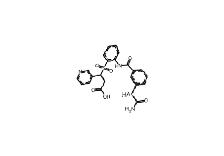 NC(=O)[AsH]c1cccc(C(=O)Nc2ccccc2S(=O)(=O)C(CC(=O)O)c2cccnc2)c1